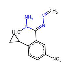 C=N/N=C(/c1cc([N+](=O)[O-])ccc1C1CC1)N(C)N